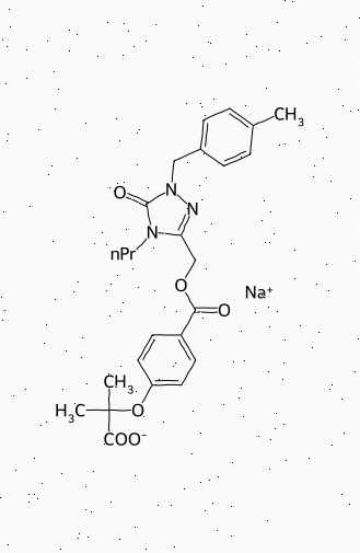 CCCn1c(COC(=O)c2ccc(OC(C)(C)C(=O)[O-])cc2)nn(Cc2ccc(C)cc2)c1=O.[Na+]